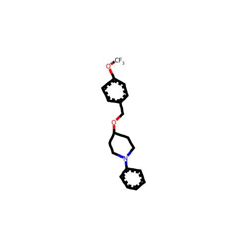 FC(F)(F)Oc1ccc(COC2CCN(c3ccccc3)CC2)cc1